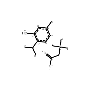 C[N+](C)(C)CC(=O)[O-].Cc1ccc(C(C)C)c(O)c1